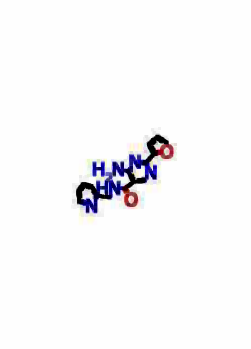 Nc1nc(-c2ccco2)ncc1C(=O)NCc1ccccn1